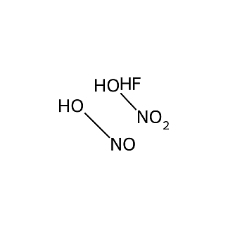 F.O=NO.O=[N+]([O-])O